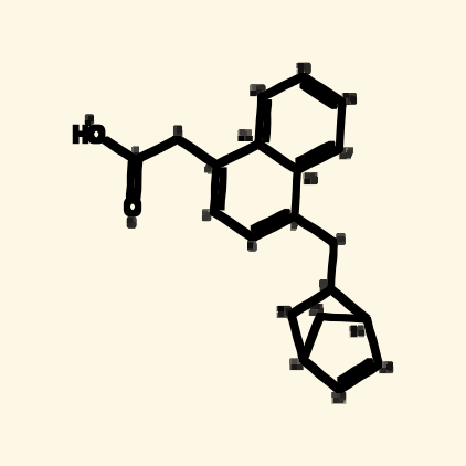 O=C(O)Cc1ccc(CC2CC3C=CC2C3)c2ccccc12